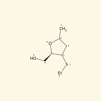 CCSC1CC(C)O[C@@H]1CO